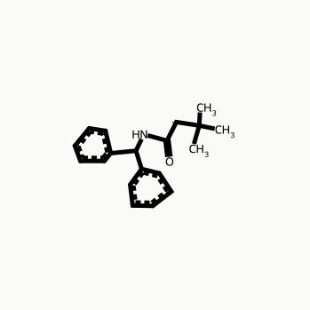 CC(C)(C)[CH]C(=O)NC(c1ccccc1)c1ccccc1